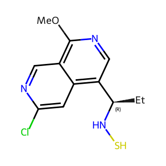 CC[C@@H](NS)c1cnc(OC)c2cnc(Cl)cc12